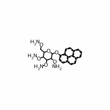 NOCC1OC(Oc2ccc3ccc4cccc5ccc2c3c45)C(ON)C(ON)C1ON